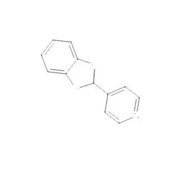 c1ccc2c(c1)O[C](c1ccncc1)O2